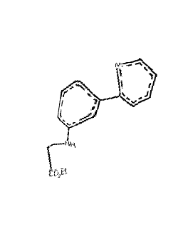 CCOC(=O)CNc1cccc(-c2ccccn2)c1